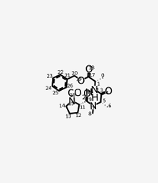 C[C@H](NC(=O)[C@H](C)N(C)C(=O)[C@@H]1CCCN1C(=O)O)C(=O)OCc1ccccc1